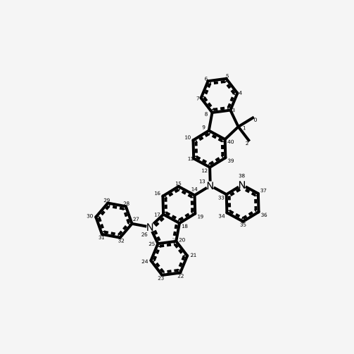 CC1(C)c2ccccc2-c2ccc(N(c3ccc4c(c3)c3ccccc3n4-c3ccccc3)c3ccccn3)cc21